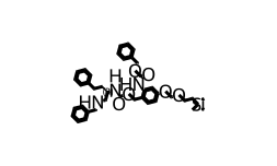 C[Si](C)(C)CCOCOc1ccc(COC(=O)N[C@H](CCc2ccccc2)CNCc2ccccc2)c(NC(=O)OCc2ccccc2)c1